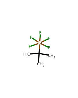 CC(C)(C)S(F)(F)(F)(F)F